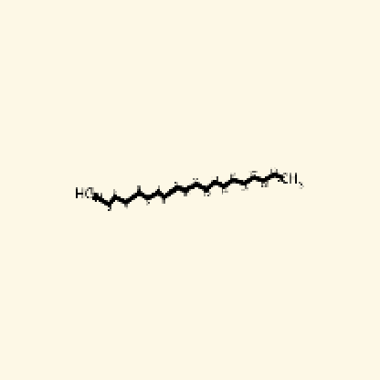 C#CCCCCCCCCCCCCCCCCCCC